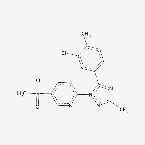 Cc1ccc(-c2nc(C(F)(F)F)nn2-c2ccc(S(C)(=O)=O)cn2)cc1Cl